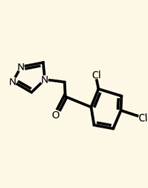 O=C(Cn1cnnc1)c1ccc(Cl)cc1Cl